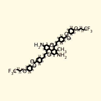 Cc1c(N)ccc(-c2ccc(N)cc2C(=O)C=Cc2ccc(C(=O)Oc3ccc(OCCCC(F)(F)F)cc3)cc2)c1C(=O)C=Cc1ccc(C(=O)Oc2ccc(OCCCC(F)(F)F)cc2)cc1